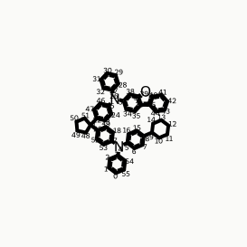 c1ccc(N(c2ccc(C3CCCCC3)cc2)c2ccc(C3(c4ccc(N(c5ccccc5)c5ccc6c(c5)oc5ccccc56)cc4)CCCC3)cc2)cc1